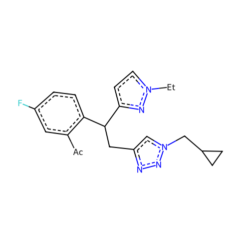 CCn1ccc(C(Cc2cn(CC3CC3)nn2)c2ccc(F)cc2C(C)=O)n1